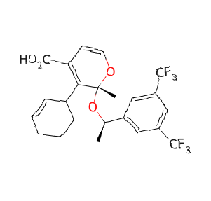 C[C@@H](O[C@@]1(C)OC=CC(C(=O)O)=C1C1C=CCCC1)c1cc(C(F)(F)F)cc(C(F)(F)F)c1